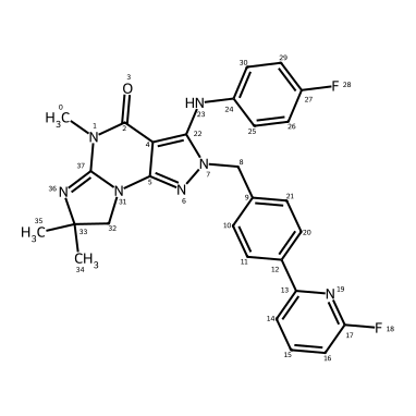 CN1C(=O)c2c(nn(Cc3ccc(-c4cccc(F)n4)cc3)c2Nc2ccc(F)cc2)N2CC(C)(C)N=C12